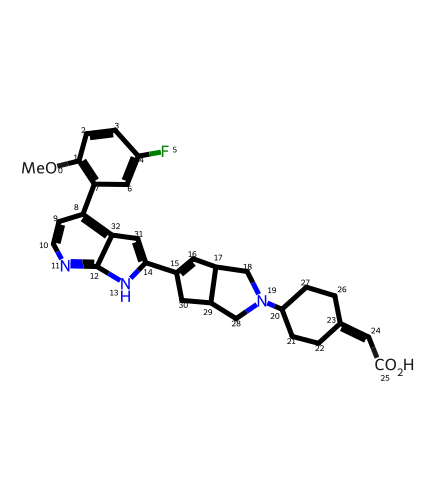 COc1ccc(F)cc1-c1ccnc2[nH]c(C3=CC4CN(C5CCC(=CC(=O)O)CC5)CC4C3)cc12